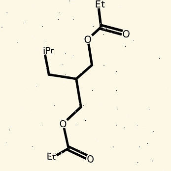 CCC(=O)OCC(COC(=O)CC)CC(C)C